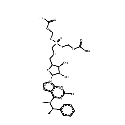 C[C@H](c1ccccc1)N(C)c1nc(Cl)nc2c1ccn2[C@@H]1OC(COCP(=O)(OCOC(=O)C(C)(C)C)OCOC(=O)C(C)(C)C)[C@@H](O)[C@H]1O